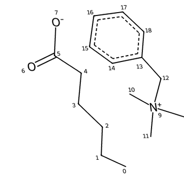 CCCCCC(=O)[O-].C[N+](C)(C)Cc1ccccc1